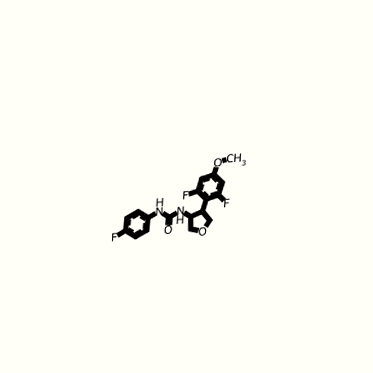 COc1cc(F)c(C2COCC2NC(=O)Nc2ccc(F)cc2)c(F)c1